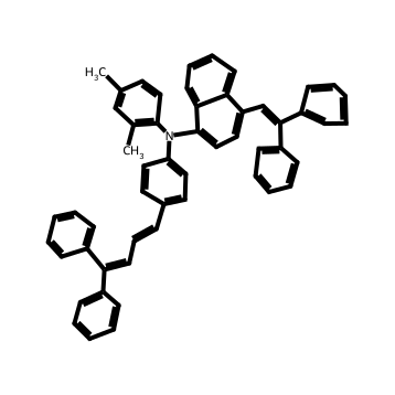 Cc1ccc(N(c2ccc(/C=C/C=C(c3ccccc3)c3ccccc3)cc2)c2ccc(C=C(c3ccccc3)c3ccccc3)c3ccccc23)c(C)c1